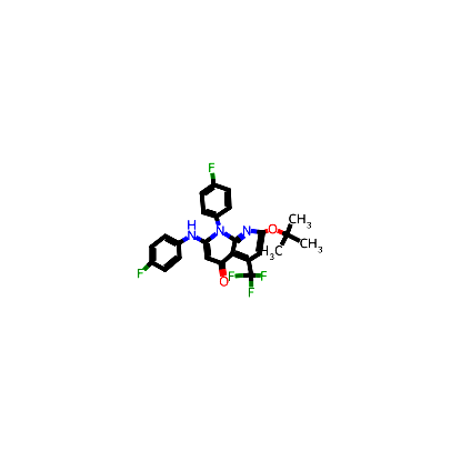 CC(C)(C)Oc1cc(C(F)(F)F)c2c(=O)cc(Nc3ccc(F)cc3)n(-c3ccc(F)cc3)c2n1